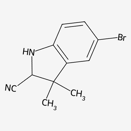 CC1(C)c2cc(Br)ccc2NC1C#N